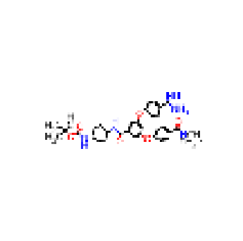 CN(C)C(=O)c1ccc(Oc2cc(Oc3ccc(C(=N)N)cc3)cc(C(=O)NC3CCC(NC(=O)OC(C)(C)C)CC3)c2)cc1